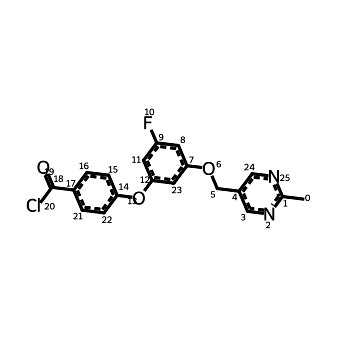 Cc1ncc(COc2cc(F)cc(Oc3ccc(C(=O)Cl)cc3)c2)cn1